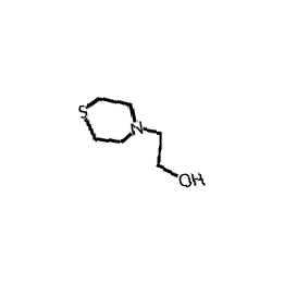 OCCN1CCSCC1